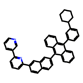 c1cncc(-c2cccc(-c3ccc4ccc(-c5c6ccccc6c(-c6cccc(C7CCCCC7)c6)c6ccccc56)cc4c3)n2)c1